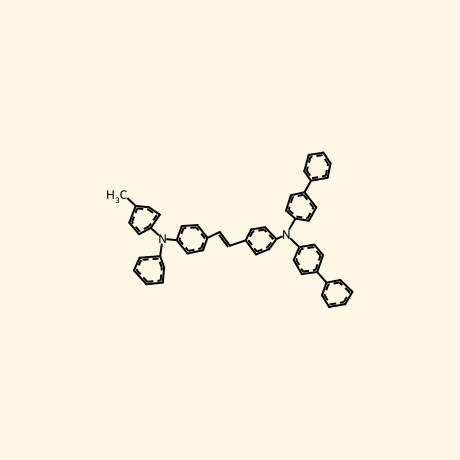 Cc1ccc(N(c2ccccc2)c2ccc(/C=C/c3ccc(N(c4ccc(-c5ccccc5)cc4)c4ccc(-c5ccccc5)cc4)cc3)cc2)cc1